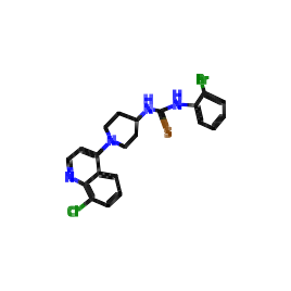 S=C(Nc1ccccc1Br)NC1CCN(c2ccnc3c(Cl)cccc23)CC1